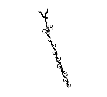 CCCC(C)(CCC)CCCNC(=O)OCCOCCOCCOCCOCCOCCOCCOCCOC